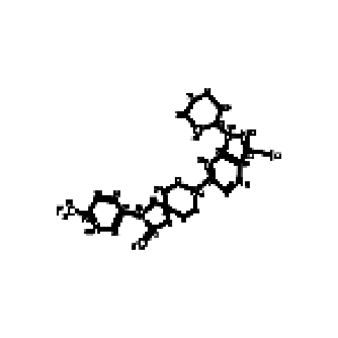 O=C1CC2(CCN(c3cnc4c(I)nn(C5CCCCO5)c4n3)CC2)CN1c1ccc(C(F)(F)F)nc1